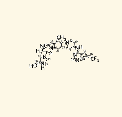 Cc1c(CN2CCC(Nc3ncnc4sc(CC(F)(F)F)cc34)CC2)ccc2c1cc(C#N)n2CC(C)N1CCNC(CO)C1